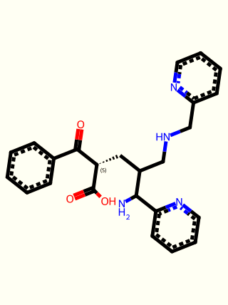 NC(c1ccccn1)C(CNCc1ccccn1)C[C@H](C(=O)O)C(=O)c1ccccc1